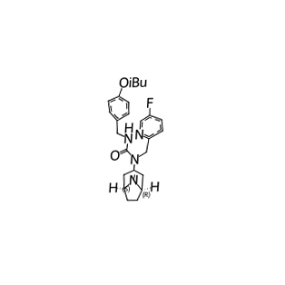 CC(C)COc1ccc(CNC(=O)N(Cc2ccc(F)cn2)C2C[C@H]3CC[C@@H](C2)N3C)cc1